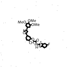 COc1cc(-c2cc(-c3ccc(C)c(OCC(=O)Nc4nc5ccc(F)cc5s4)c3)on2)cc(OC)c1OC